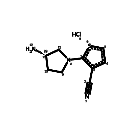 Cl.N#Cc1ccsc1N1CC[C@H](N)C1